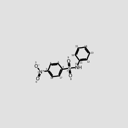 O=[N+]([O-])c1ccc(S(=O)(=O)Nc2cc[c]cc2)cc1